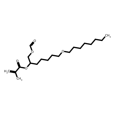 C=C(C)C(=O)OC(CCCCCOCCCCCCCC)COC=O